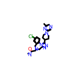 Cc1cncc(N2CCC(c3nnc4n3-c3ccc(Cl)cc3CN(CC(=O)N(C)C)C4)CC2)n1